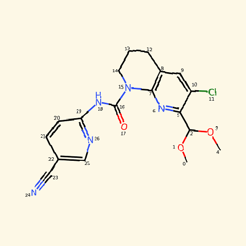 COC(OC)c1nc2c(cc1Cl)CCCN2C(=O)Nc1ccc(C#N)cn1